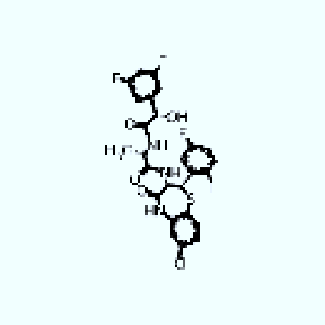 C[C@H](NC(=O)[C@@H](O)c1cc(F)cc(F)c1)C(=O)N[C@@H]1C(=O)Nc2cc(Cl)ccc2S[C@@H]1c1cc(F)ccc1F